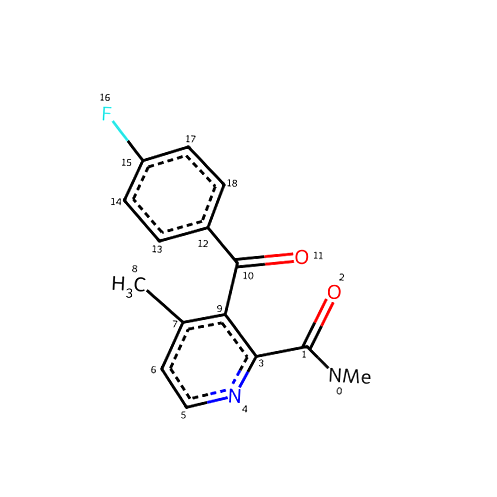 CNC(=O)c1nccc(C)c1C(=O)c1ccc(F)cc1